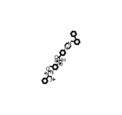 Cc1cc(S(=O)(=O)NC(=O)c2ccc(N3CCN(Cc4ccccc4-c4ccccc4)CC3)cc2)ccc1N(C)C(=O)N(C)C(CN(C)C)c1ccccc1